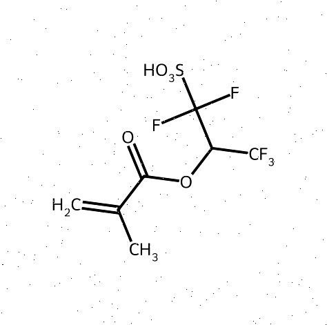 C=C(C)C(=O)OC(C(F)(F)F)C(F)(F)S(=O)(=O)O